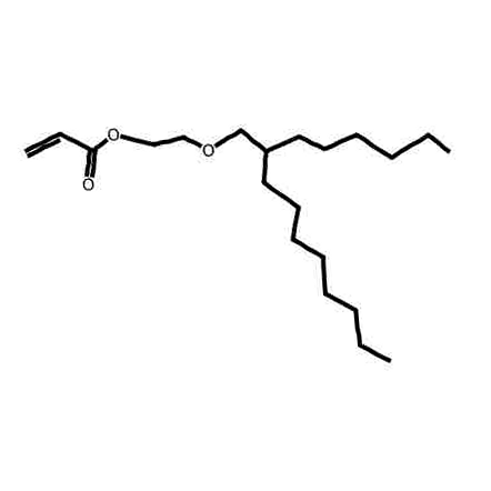 C=CC(=O)OCCOCC(CCCCCC)CCCCCCCC